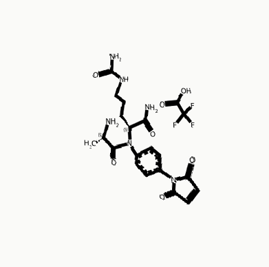 C[C@H](N)C(=O)N(c1ccc(N2C(=O)C=CC2=O)cc1)[C@@H](CCCNC(N)=O)C(N)=O.O=C(O)C(F)(F)F